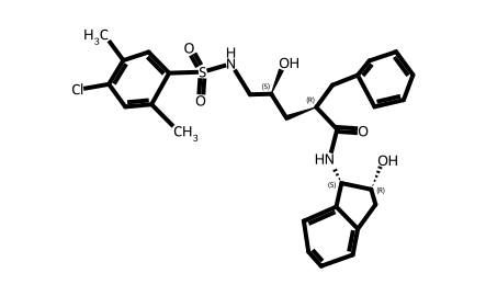 Cc1cc(S(=O)(=O)NC[C@@H](O)C[C@@H](Cc2ccccc2)C(=O)N[C@H]2c3ccccc3C[C@H]2O)c(C)cc1Cl